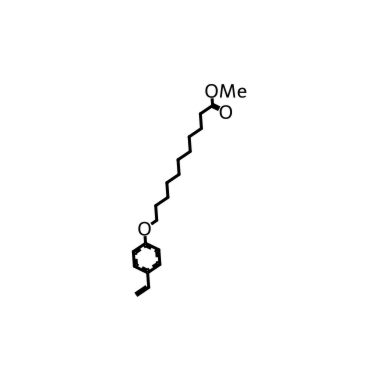 C=Cc1ccc(OCCCCCCCCCCC(=O)OC)cc1